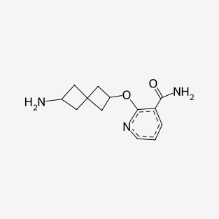 NC(=O)c1cccnc1OC1CC2(CC(N)C2)C1